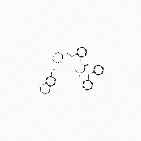 CN(C(=O)O)[C@H](C(=O)Nc1ccccc1CC[C@@H]1CNC[C@@H](COc2ccc3c(c2)NCCC3)O1)C(c1ccccc1)c1ccccc1